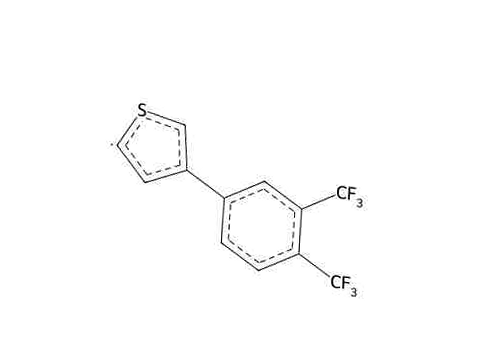 FC(F)(F)c1ccc(-c2c[c]sc2)cc1C(F)(F)F